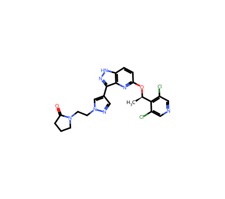 C[C@@H](Oc1ccc2[nH]nc(-c3cnn(CCN4CCCC4=O)c3)c2n1)c1c(Cl)cncc1Cl